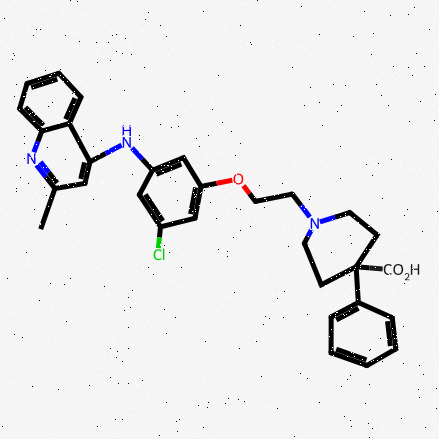 Cc1cc(Nc2cc(Cl)cc(OCCN3CCC(C(=O)O)(c4ccccc4)CC3)c2)c2ccccc2n1